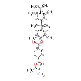 CCC(C)OC(=O)C1CCC(C(=O)Oc2c(C)cc(C(C)(C)c3cc(C)c(C(C)C)c(C)c3)cc2C)CC1